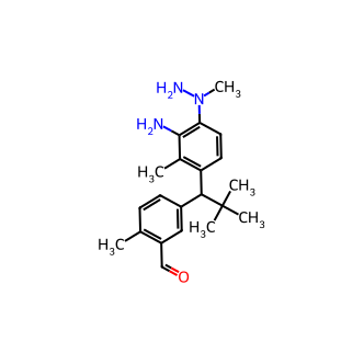 Cc1ccc(C(c2ccc(N(C)N)c(N)c2C)C(C)(C)C)cc1C=O